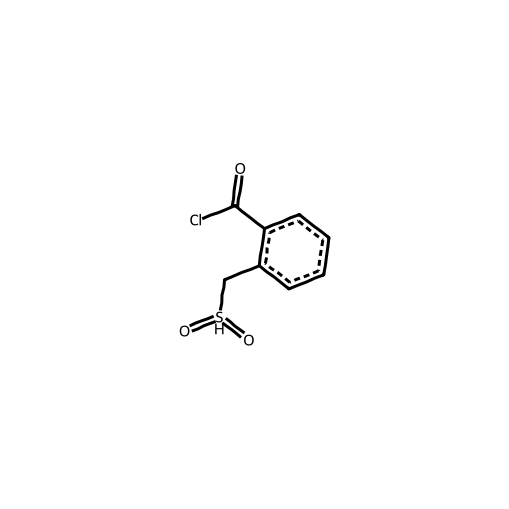 O=C(Cl)c1ccccc1C[SH](=O)=O